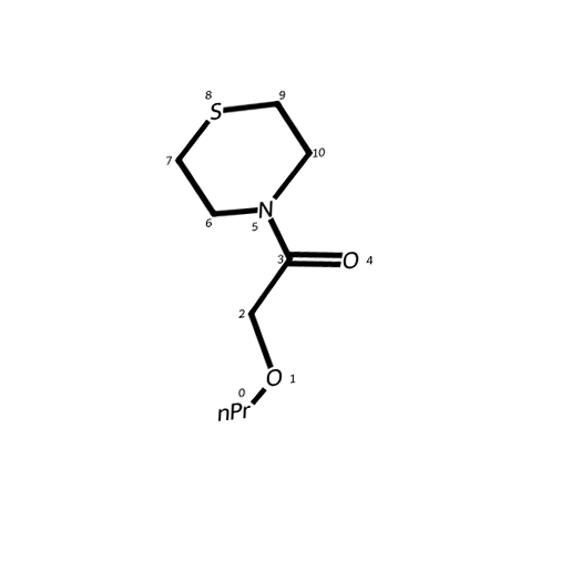 [CH2]CCOCC(=O)N1CCSCC1